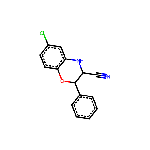 N#CC1Nc2cc(Cl)ccc2OC1c1ccccc1